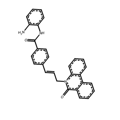 Nc1ccccc1NC(=O)c1ccc(C=CCn2c(=O)c3ccccc3c3ccccc32)cc1